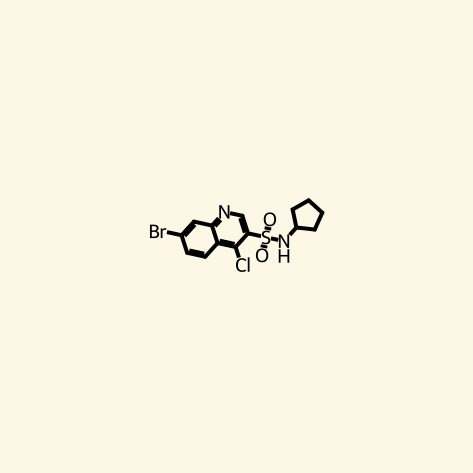 O=S(=O)(NC1CCCC1)c1cnc2cc(Br)ccc2c1Cl